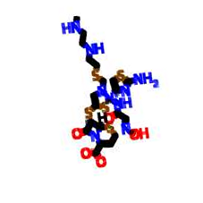 CNCCNCCSCN1C=C(S[C@@H]2C(=O)N3C(C(=O)[O-])=CCS[C@@H]23)S[N+]1(NC(=O)C=NO)c1csc(N)n1